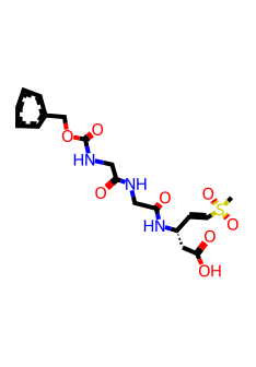 CS(=O)(=O)/C=C/[C@H](CC(=O)O)NC(=O)CNC(=O)CNC(=O)OCc1ccccc1